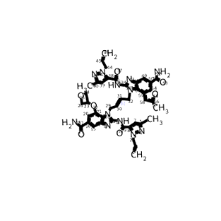 C=CCn1nc(C)cc1C(=O)Nc1nc2cc(C(N)=O)cc(OC3COC3)c2n1C/C=C/Cn1c(NC(=O)c2cc(C)nn2CC=C)nc2cc(C(N)=O)c3oc(C)cc3c21